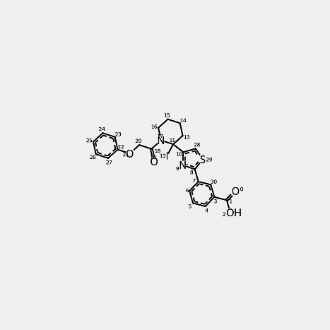 O=C(O)c1cccc(-c2nc(C3(I)CCCCN3C(=O)COc3ccccc3)cs2)c1